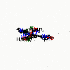 COC(=O)N[C@H](C(=O)N[C@@H](Cc1ccc(C#Cc2cnc(N3C[C@H]4C[C@@H]3CN4C3COC3)nc2)cc1)[C@@H](O)CN(Cc1c(F)cc(-c2ccn(C3CC3)n2)cc1F)NC(=O)[C@@H](NC(=O)OC)C(C)(C)C(F)(F)F)C(C)(C)C(F)(F)F